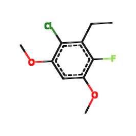 CCc1c(F)c(OC)cc(OC)c1Cl